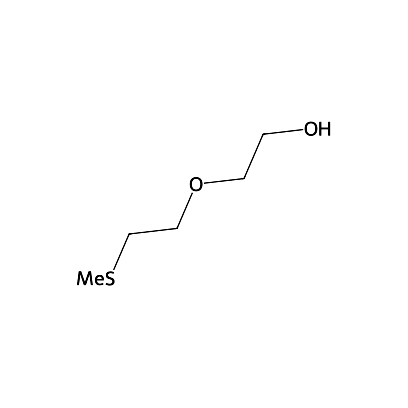 CSCCOCCO